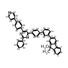 CC1(C)c2ccccc2-c2ccc(-c3cccc(-c4ccc(-c5cc(-c6ccc(-c7ccncc7)cc6)nc(-c6ccccc6)n5)cc4)c3)cc21